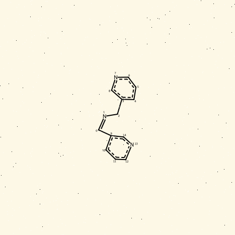 C(=N/Cc1cccnc1)/c1cccnc1